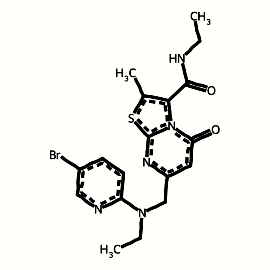 CCNC(=O)c1c(C)sc2nc(CN(CC)c3ccc(Br)cn3)cc(=O)n12